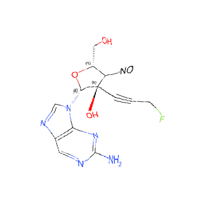 Nc1ncc2ncn([C@@H]3O[C@H](CO)C(N=O)[C@]3(O)C#CCF)c2n1